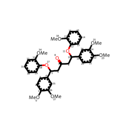 COc1ccc(C(CC(=O)CC(Oc2ccccc2OC)c2ccc(OC)c(OC)c2)Oc2ccccc2OC)cc1OC